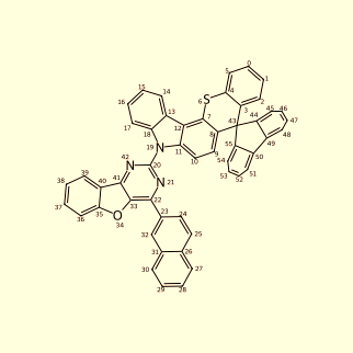 c1ccc2c(c1)Sc1c(ccc3c1c1ccccc1n3-c1nc(-c3ccc4ccccc4c3)c3oc4ccccc4c3n1)C21c2ccccc2-c2ccccc21